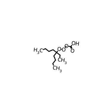 CCCCC(CC)(CCCC)OOOC(=O)O